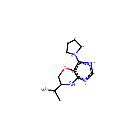 CO[C@H](C)C1COc2c(ncnc2N2CCCC2)N1